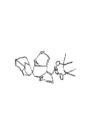 CC1(C)OB(c2cccc3c2-c2ccccc2C32C3CC4CC(C3)CC2C4)OC1(C)C